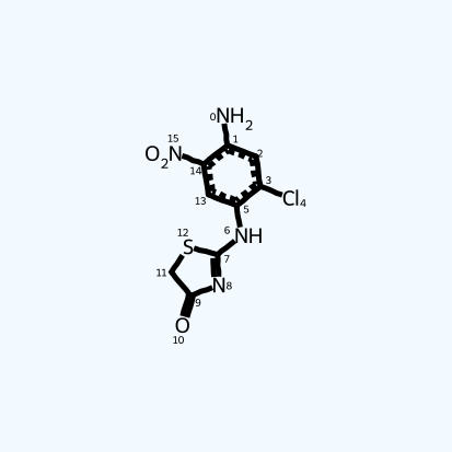 Nc1cc(Cl)c(NC2=NC(=O)CS2)cc1[N+](=O)[O-]